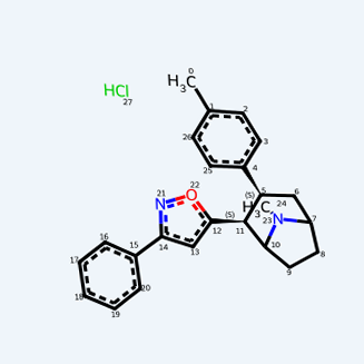 Cc1ccc([C@H]2CC3CCC([C@H]2c2cc(-c4ccccc4)no2)N3C)cc1.Cl